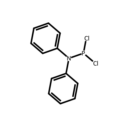 ClP(Cl)N(c1ccccc1)c1ccccc1